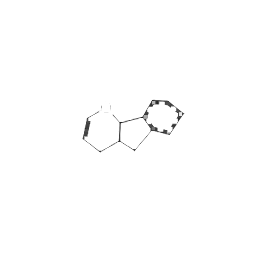 C1=COC2c3ccccc3CC2C1